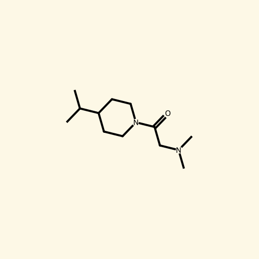 CC(C)C1CCN(C(=O)CN(C)C)CC1